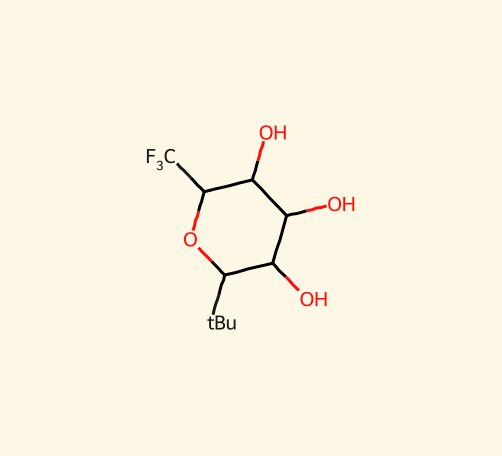 CC(C)(C)C1OC(C(F)(F)F)C(O)C(O)C1O